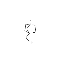 CC(C)[N+]12CCC(CC(C)(C)C)(CC1)C2